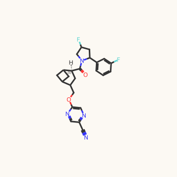 N#Cc1cnc(OCC2C[C@H](C(=O)N3CC(F)CC3c3cccc(F)c3)C3CC2C3)cn1